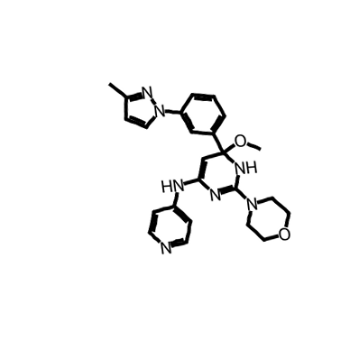 COC1(c2cccc(-n3ccc(C)n3)c2)C=C(Nc2ccncc2)N=C(N2CCOCC2)N1